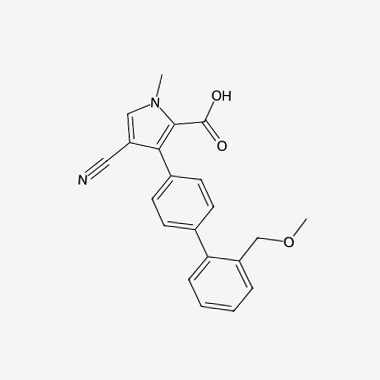 COCc1ccccc1-c1ccc(-c2c(C#N)cn(C)c2C(=O)O)cc1